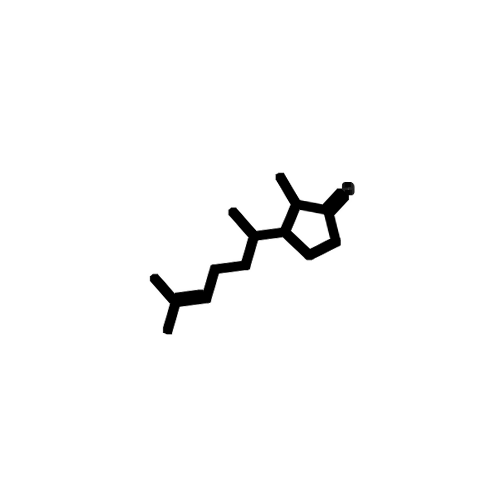 CC(C)=CCCC(C)C1CCC(=O)C1C